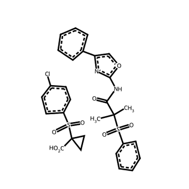 CC(C)(C(=O)Nc1nc(-c2ccccc2)co1)S(=O)(=O)c1ccccc1.O=C(O)C1(S(=O)(=O)c2ccc(Cl)cc2)CC1